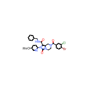 COc1ccc(-n2c(C(=O)NCc3ccccc3)c3n(c2=O)CCN(C(=O)c2ccc(Br)c(Cl)c2)C3)nc1